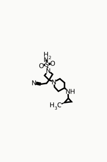 C[C@@H]1CC1NC1CCN(C2(CC#N)CN(S(N)(=O)=O)C2)CC1